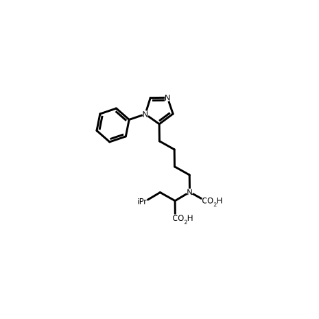 CC(C)CC(C(=O)O)N(CCCCc1cncn1-c1ccccc1)C(=O)O